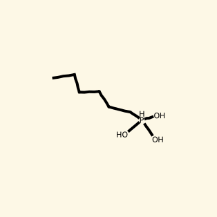 CCCCCC[PH](O)(O)O